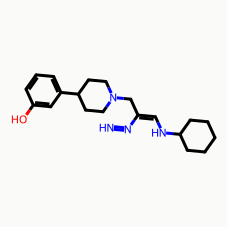 N=N/C(=C\NC1CCCCC1)CN1CCC(c2cccc(O)c2)CC1